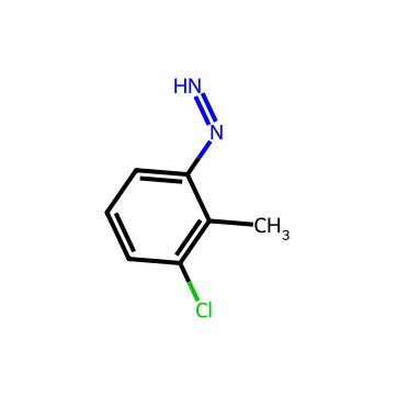 Cc1c(Cl)cccc1N=N